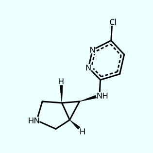 Clc1ccc(N[C@H]2[C@@H]3CNC[C@@H]32)nn1